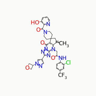 C[C@@H]1CC2(CCN(C(=O)c3ncccc3O)CC2)c2c1n(CC(=O)Nc1ccc(C(F)(F)F)cc1Cl)c1nc(-c3cnn(C4COC4)c3)nn1c2=O